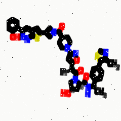 Cc1ncsc1-c1ccc([C@H](C)NC(=O)[C@@H]2C[C@@H](O)CN2C(=O)[C@@H](c2cc(N3CCC(C(=O)N4CC(c5cc6cc(-c7ccccc7O)nnc6s5)C4)CC3)no2)C(C)C)cc1